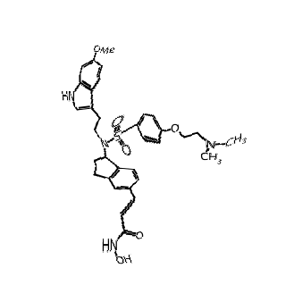 COc1ccc2c(CCN(C3CCc4cc(C=CC(=O)NO)ccc43)S(=O)(=O)c3ccc(OCCN(C)C)cc3)c[nH]c2c1